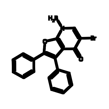 Bn1cc(Br)c(=O)c2c(-c3ccccc3)c(-c3ccccc3)oc21